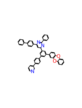 c1ccc(-c2ccc(-c3cc(-c4cc(-c5ccc(-c6cccnc6)cc5)cc(-c5ccc6c(c5)Oc5ccccc5O6)c4)nc(-c4ccccc4)n3)cc2)cc1